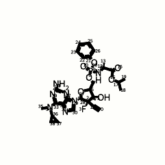 C#C[C@@]1(F)[C@H](O)C(COP(=O)(N[C@@H](C)C(=O)OC(C)C)Oc2ccccc2)O[C@H]1n1cnc2c(N(C)C3CC3)nc(N)nc21